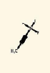 CC#C[B-](F)(F)F